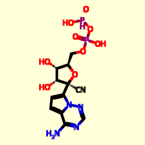 N#C[C@@]1(c2ccc3c(N)ncnn23)O[C@H](COP(=O)(O)O[PH](=O)O)[C@@H](O)[C@H]1O